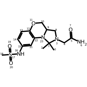 CC1(C)N(CC(N)=O)CC2COc3ccc(NS(C)(=O)=O)cc3N21